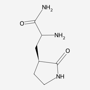 NC(=O)C(N)C[C@@H]1CCNC1=O